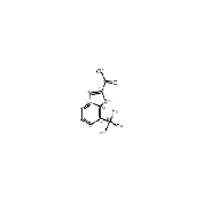 O=C(Cl)c1cc2cccc(C(F)(F)F)c2s1